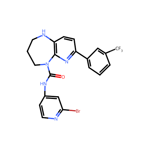 O=C(Nc1ccnc(Br)c1)N1CCCNc2ccc(-c3cccc(C(F)(F)F)c3)nc21